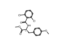 COC(=O)[C@H](Cc1ccc(OC)cc1)NC(=O)c1c(Cl)cccc1Cl